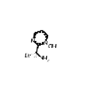 CC[C@@H](N)c1ncccn1.Cl